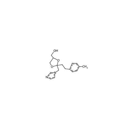 Cc1ccc(CCC2(Cn3ccnc3)OCC(CO)O2)cc1